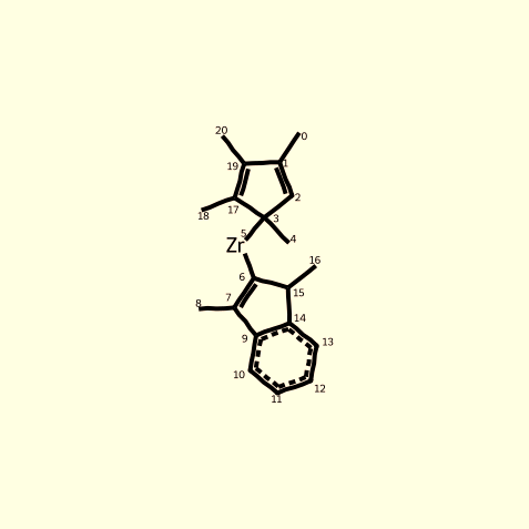 CC1=C[C](C)([Zr][C]2=C(C)c3ccccc3C2C)C(C)=C1C